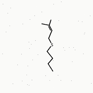 CCCCSCC=C(C)C